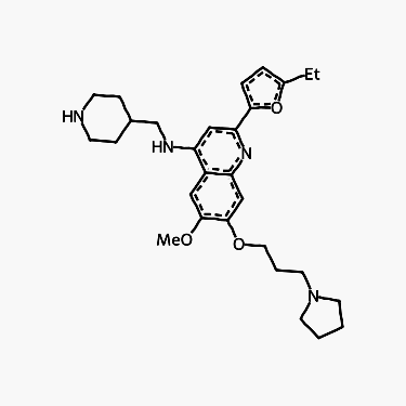 CCc1ccc(-c2cc(NCC3CCNCC3)c3cc(OC)c(OCCCN4CCCC4)cc3n2)o1